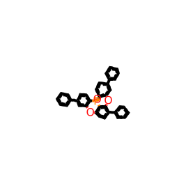 O=P12c3ccc(-c4ccccc4)cc3Oc3ccc(-c4ccccc4)c(c31)Oc1cc(-c3ccccc3)ccc12